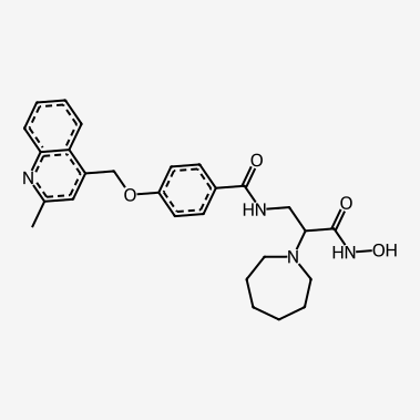 Cc1cc(COc2ccc(C(=O)NCC(C(=O)NO)N3CCCCCC3)cc2)c2ccccc2n1